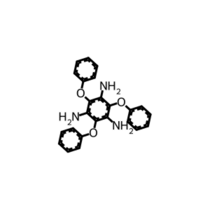 Nc1c(Oc2ccccc2)c(N)c(Oc2ccccc2)c(N)c1Oc1ccccc1